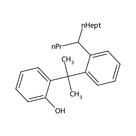 CCCCCCCC(CCC)c1ccccc1C(C)(C)c1ccccc1O